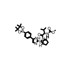 COC(=O)N[C@H](C(=O)N1[C@@H]2CC[C@@H](C2)[C@H]1c1ncc(-c2ccc(B3OC(C)(C)C(C)(C)O3)cc2)[nH]1)C(C)C